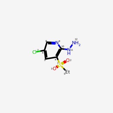 CCS(=O)(=O)c1cc(Cl)cnc1NN